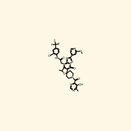 COc1cc(-c2nc3n(CC(=O)Nc4ccc(C(F)(F)F)cc4Cl)c4c(c(=O)n3n2)C2(CCN(C(=O)c3ncnc(C)c3O)CC2)OC4C)ccn1